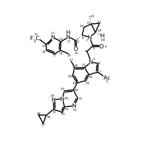 CC(=O)c1cn(CC(=O)N2[C@H](C(=O)Nc3nc(C(F)(F)F)ccc3C)C[C@@]3(C)C[C@@H]23)c2c(C)cc(-c3cnc4cc(C5CC5)nn4c3)cc12